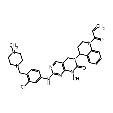 C=CC(=O)N1CCC(N2Cc3cnc(Nc4ccc(CN5CCN(C)CC5)c(Cl)c4)nc3N(C)C2=O)c2ccccc21